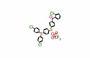 O=C(c1ccc(Sc2ccc([S+](c3ccc(Cl)cc3)c3ccc(Cl)cc3)cc2)cc1)c1ccccc1Cl.O=S(=O)([O-])C(F)(F)F